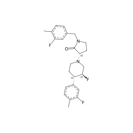 Cc1ccc(CN2CC[C@H](N3CC[C@@H](c4ccc(C)c(F)c4)[C@H](F)C3)C2=O)cc1F